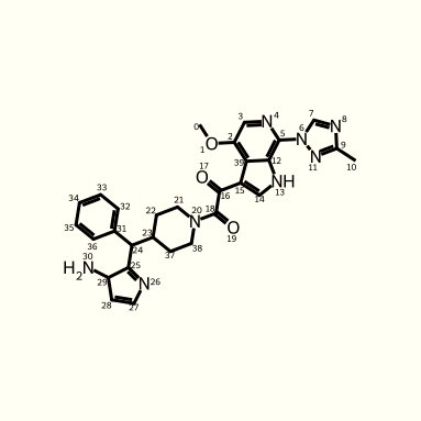 COc1cnc(-n2cnc(C)n2)c2[nH]cc(C(=O)C(=O)N3CCC(C(C4=NC=CC4N)c4ccccc4)CC3)c12